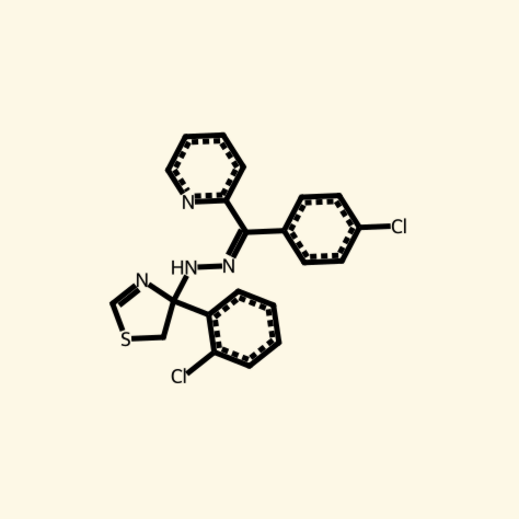 Clc1ccc(C(=NNC2(c3ccccc3Cl)CSC=N2)c2ccccn2)cc1